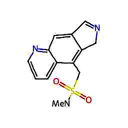 CNS(=O)(=O)Cc1c2c(cc3ncccc13)C=NC2